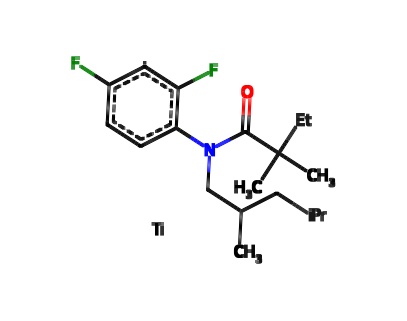 CCC(C)(C)C(=O)N(CC(C)CC(C)C)c1ccc(F)[c]c1F.[Ti]